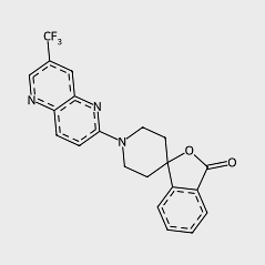 O=C1OC2(CCN(c3ccc4ncc(C(F)(F)F)cc4n3)CC2)c2ccccc21